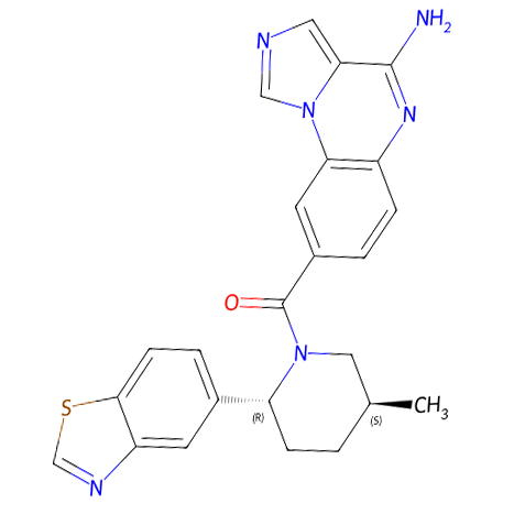 C[C@H]1CC[C@H](c2ccc3scnc3c2)N(C(=O)c2ccc3nc(N)c4cncn4c3c2)C1